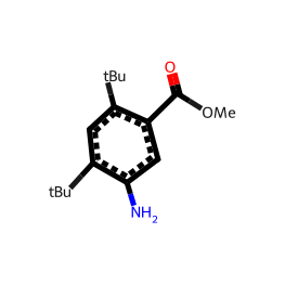 COC(=O)c1cc(N)c(C(C)(C)C)cc1C(C)(C)C